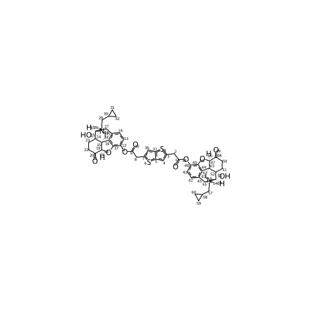 O=C(Cc1cc2sc(CC(=O)Oc3ccc4c5c3O[C@H]3C(=O)CC[C@@]6(O)[C@@H](C4)N(CC4CC4)CC[C@]536)cc2s1)Oc1ccc2c3c1O[C@H]1C(=O)CC[C@@]4(O)[C@@H](C2)N(CC2CC2)CC[C@]314